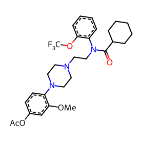 COc1cc(OC(C)=O)ccc1N1CCN(CCN(C(=O)C2CCCCC2)c2ccccc2OC(F)(F)F)CC1